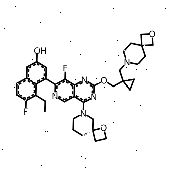 CCc1c(F)ccc2cc(O)cc(-c3ncc4c(N5CCC[C@]6(CCO6)C5)nc(OCC5(CN6CCC7(CC6)COC7)CC5)nc4c3F)c12